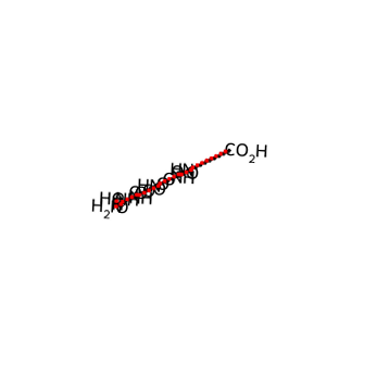 NN(I)C(=O)[C@H](CCCCNC(=O)COCCOCCNC(=O)COCCOCCNC(=O)CCCNC(=O)CCCCCCCCCCCCCCCCC(=O)O)NO